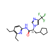 CCc1ccc(NC(=O)[C@H](CC2CCCC2)n2cnc(C(F)(F)F)c2)nc1CC